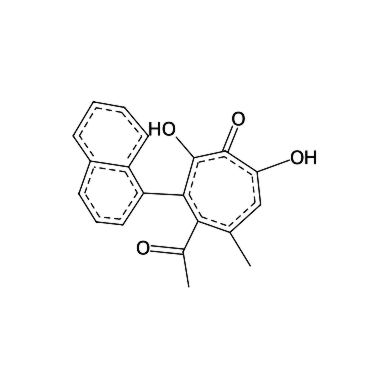 CC(=O)c1c(C)cc(O)c(=O)c(O)c1-c1cccc2ccccc12